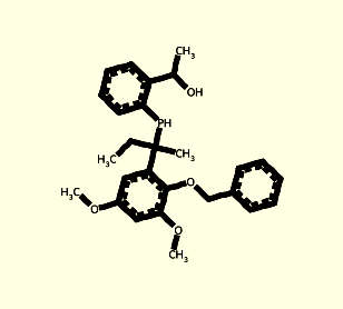 CCC(C)(Pc1ccccc1C(C)O)c1cc(OC)cc(OC)c1OCc1ccccc1